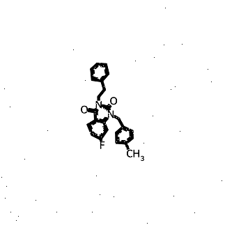 Cc1ccc(Cn2c(=O)n(CCc3ccccc3)c(=O)c3ccc(F)cc32)cc1